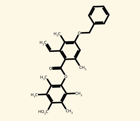 C=Cc1c(C)c(OCc2ccccc2)cc(C)c1C(=O)Oc1c(C)c(C)c(C(=O)O)c(C)c1C